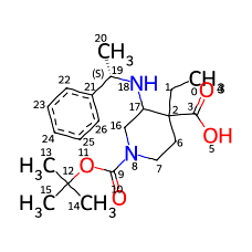 CCC1(C(=O)O)CCN(C(=O)OC(C)(C)C)CC1N[C@@H](C)c1ccccc1